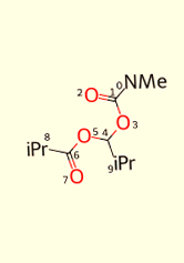 CNC(=O)OC(OC(=O)C(C)C)C(C)C